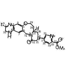 CCC1=Nc2cc3c(cc2NC1)CN1C(=O)CN(c2ccc(C(=O)OC)nc2)C[C@H]1CCO3